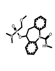 CNC(=O)N1c2ccccc2CC(OP(=O)(COC)N(C)C)c2ccccc21